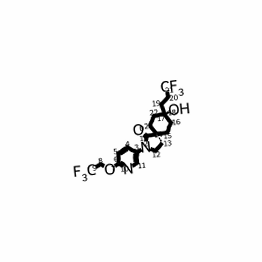 O=C1N(c2ccc(OCC(F)(F)F)nc2)CC[C@]12CC[C@@](O)(CCC(F)(F)F)CC2